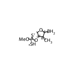 B[C@@H]1OC[C@@H](OP(=S)(S)OC)[C@@H]1C